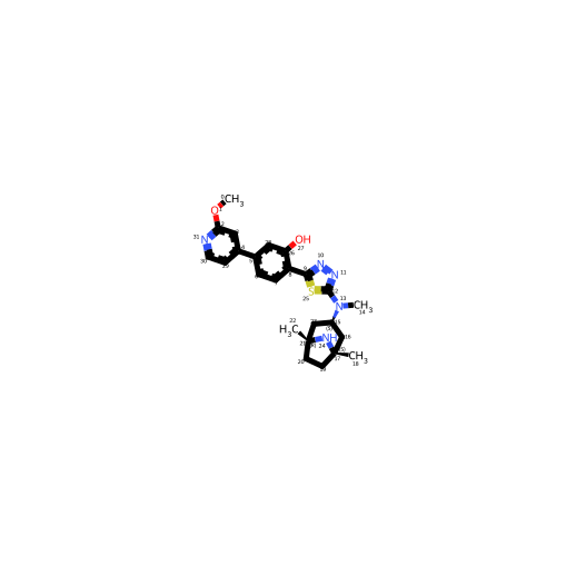 COc1cc(-c2ccc(-c3nnc(N(C)[C@H]4C[C@]5(C)CC[C@](C)(C4)N5)s3)c(O)c2)ccn1